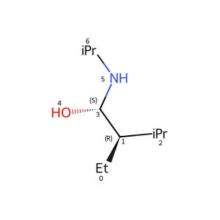 CC[C@H](C(C)C)[C@H](O)NC(C)C